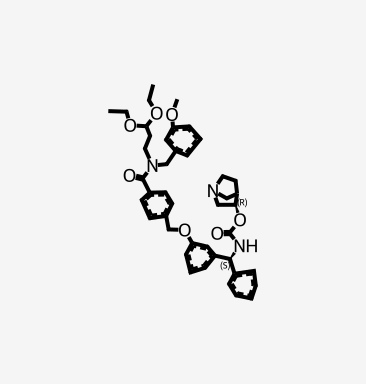 CCOC(CCN(Cc1cccc(OC)c1)C(=O)c1ccc(COc2cccc([C@@H](NC(=O)O[C@H]3CN4CCC3C4)c3ccccc3)c2)cc1)OCC